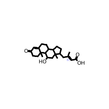 C/C(=C\C(=O)O)CC1CCC2C3CCC4=CC(=O)CCC4(C)C3C(O)CC12C